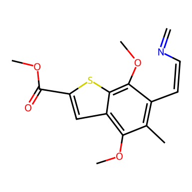 C=N/C=C\c1c(C)c(OC)c2cc(C(=O)OC)sc2c1OC